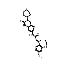 O=C(/C=C1\CCCOc2cc(C(F)(F)F)ccc21)Nc1ccc2c(c1)NC(=O)C(N1CCSCC1)C2